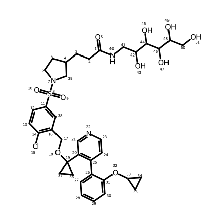 O=C(CCC1CCN(S(=O)(=O)c2ccc(Cl)c(COC3(c4cnccc4-c4ccccc4OC4CC4)CC3)c2)C1)NCC(O)C(O)C(O)C(O)CO